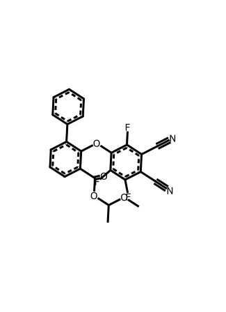 COC(C)OC(=O)c1cccc(-c2ccccc2)c1Oc1c(F)c(F)c(C#N)c(C#N)c1F